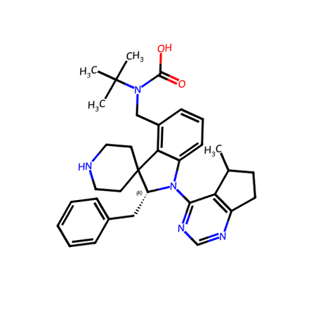 CC1CCc2ncnc(N3c4cccc(CN(C(=O)O)C(C)(C)C)c4C4(CCNCC4)[C@H]3Cc3ccccc3)c21